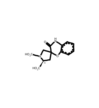 O=C(O)[C@@H]1CC2(CN1C(=O)O)Oc1ccccc1NC2=O